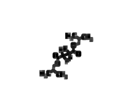 CC(C)COC(=O)C(F)(F)C(F)(F)C(=O)OCC(C)C